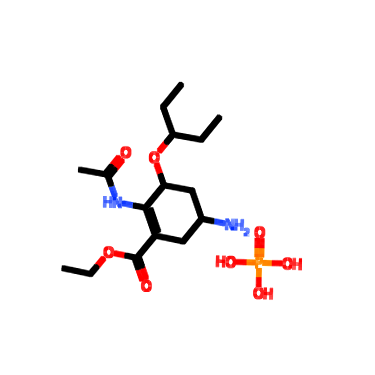 CCOC(=O)C1=C(NC(C)=O)C(OC(CC)CC)CC(N)C1.O=P(O)(O)O